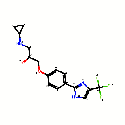 O[C@@H](CNC1CC1)COc1ccc(-c2nc(C(F)(F)F)c[nH]2)cc1